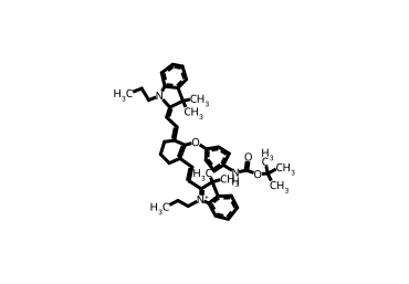 CCCN1/C(=C/C=C2\CCCC(/C=C/C3=[N+](CCC)c4ccccc4C3(C)C)=C2Oc2ccc(NC(=O)OC(C)(C)C)cc2)C(C)(C)c2ccccc21